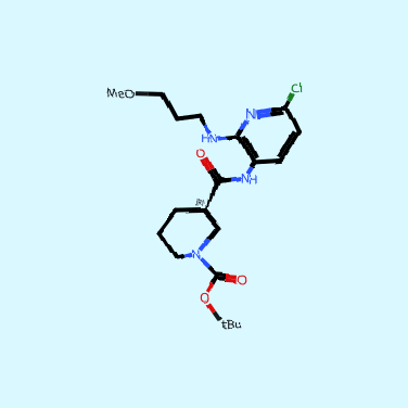 COCCCNc1nc(Cl)ccc1NC(=O)[C@@H]1CCCN(C(=O)OC(C)(C)C)C1